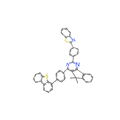 CC1(C)c2ccccc2-c2nc(-c3ccc(-c4nc5ccccc5s4)cc3)nc(-c3ccc(-c4cccc5c4sc4ccccc45)cc3)c21